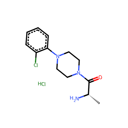 C[C@H](N)C(=O)N1CCN(c2ccccc2Cl)CC1.Cl